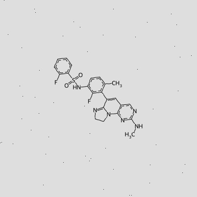 CNc1ncc2c(n1)N1CCN=C1C(c1c(C)ccc(NS(=O)(=O)c3ccccc3F)c1F)=C2